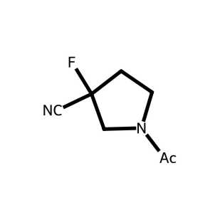 CC(=O)N1CCC(F)(C#N)C1